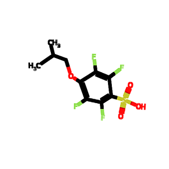 CC(C)COc1c(F)c(F)c(S(=O)(=O)O)c(F)c1F